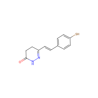 O=C1CCC(C=Cc2ccc(S)cc2)=NN1